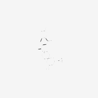 Cc1cc(C(=O)N2CCC3(CC2)C[C@H](O)C[C@H](C2CC2)O3)ccc1OC(C)C